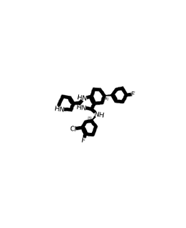 FC1=C(Cl)C[C@@H](NC2NC(C3=CCCNC3)NC3=C2C[C@H](C2=CCC(F)CC2)CC3)CC1